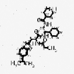 CCC(=O)N[C@@H](Cc1nc2ccc(C(C)C)cc2s1)C(=O)N[C@H](CNC(=O)C1CCNCC1)C1CCCCC1